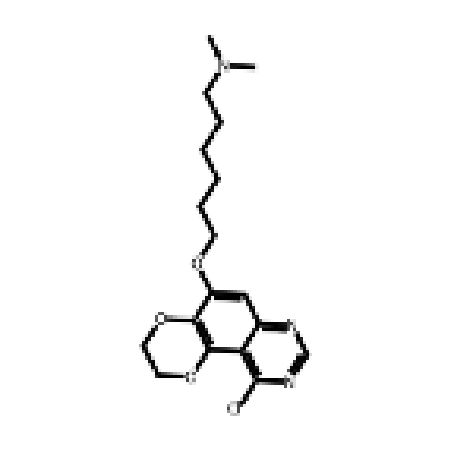 CN(C)CCCCCCOc1cc2ncnc(Cl)c2c2c1OCCO2